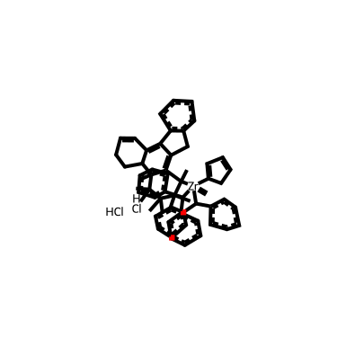 Cl.Cl.[CH2]=[Zr]([C]1=CC=CC1)([CH](c1ccccc1)c1ccccc1)([CH](c1ccccc1)c1ccccc1)[C]1(C)C2=C3Cc4ccccc4C3=C3C=CCCC3C2(C)C(C)(C)C(C)(C)C1(C)C